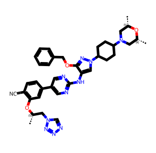 C[C@@H]1CN(C2CCC(n3cc(Nc4ncc(-c5ccc(C#N)c(O[C@@H](C)Cn6cnnn6)c5)cn4)c(OCc4ccccc4)n3)CC2)C[C@H](C)O1